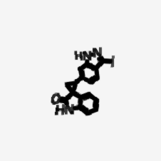 O=C1Nc2ccccc2C12CC2c1ccc2c(I)n[nH]c2c1